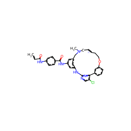 C=CC(=O)Nc1ccc(C(=O)Nc2cc3cc(c2)Nc2ncc(Cl)c(n2)-c2cccc(c2)OCC/C=C/CN(C)C3)cc1